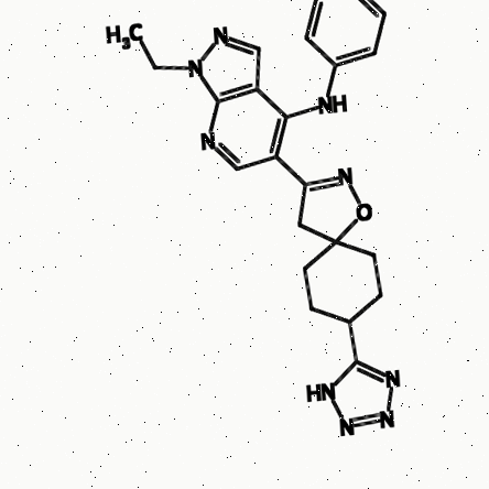 CCn1ncc2c(Nc3ccccc3)c(C3=NOC4(CCC(c5nnn[nH]5)CC4)C3)cnc21